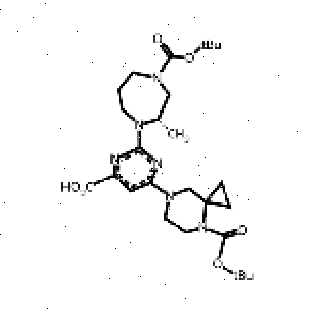 C[C@H]1CN(C(=O)OC(C)(C)C)CCCN1c1nc(C(=O)O)cc(N2CCN(C(=O)OC(C)(C)C)C3(CC3)C2)n1